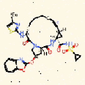 CC(C)(C)c1csc(N[C@H]2CCCCC/C=C\[C@@H]3C[C@@]3(C(=O)NS(=O)(=O)C3CC3)NC(=O)[C@@H]3C[C@@H](Oc4nc5ccccc5o4)CN3C2=O)n1